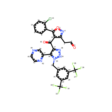 O=CCc1noc(-c2ccccc2Cl)c1C(=O)c1nnn(Cc2cc(C(F)(F)F)cc(C(F)(F)F)c2)c1-c1cnccn1